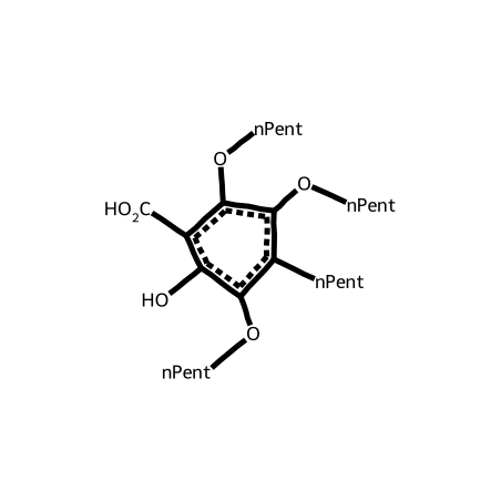 CCCCCOc1c(O)c(C(=O)O)c(OCCCCC)c(OCCCCC)c1CCCCC